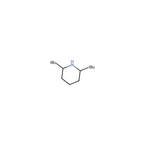 CC(C)(C)C1CCCC(C(C)(C)C)N1